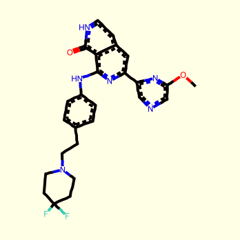 COc1cncc(-c2cc3cc[nH]c(=O)c3c(Nc3ccc(CCN4CCC(F)(F)CC4)cc3)n2)n1